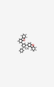 N#Cc1c(-c2ccccc2)cc(-c2cccc3c2oc2ccccc23)cc1-c1ccc2oc3ccccc3c2c1